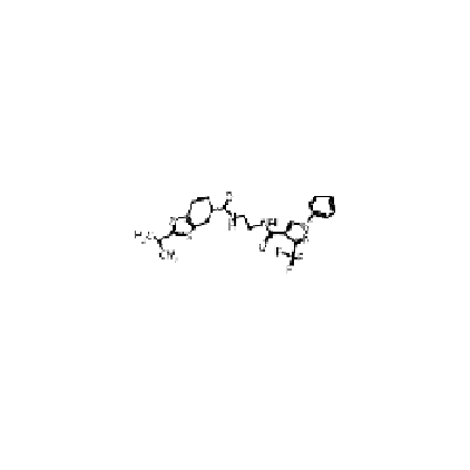 CC(C)c1nc2c(s1)CC(C(=O)NCCNC(=O)c1cn(-c3ccccc3)nc1C(F)(F)F)CC2